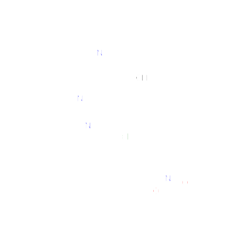 Cc1c(Cc2ccc([N+](=O)[O-])cc2)c(Cl)c2c(nc3ccccn32)c1C#N